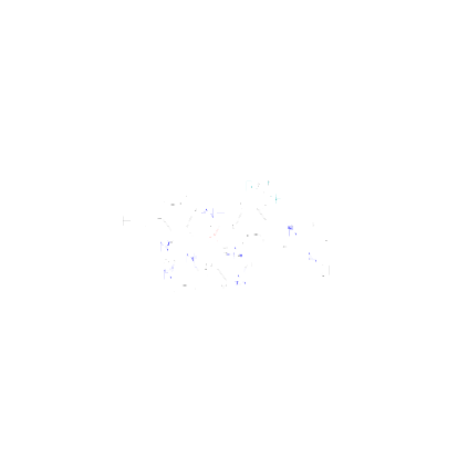 Cc1ccc(NC(=O)c2ccc(CN3CCN(C)CC3)c(C(F)(F)F)c2)cc1Nc1nccc(-c2cncnc2)n1